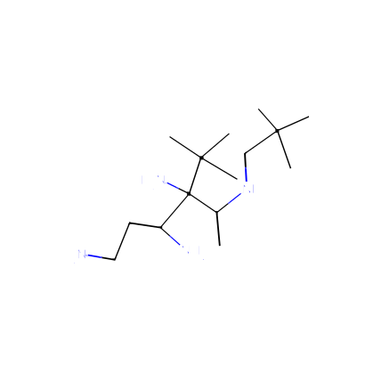 CC(NCC(C)(C)C)C(N)(C(N)CCN)C(C)(C)C